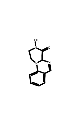 CN1CCN2c3ccccc3C=NC2C1=O